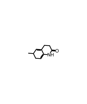 CC1C=C2CCC(=O)NC2=CC1